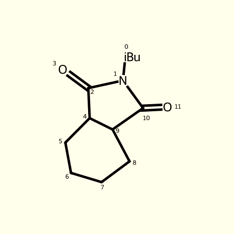 CCC(C)N1C(=O)C2CCCCC2C1=O